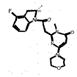 C[C@H]1Cc2c(F)cccc2N1C(=O)Cc1nc(N2CCOCC2)cc(=O)n1C